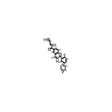 Cc1ccc(N2CCN(C)CC2)cc1C(=O)N[C@H](C)c1cccc(C(=O)NCCO)c1